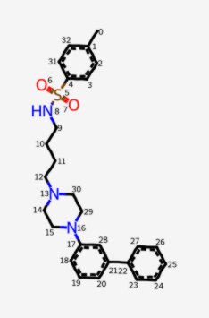 Cc1ccc(S(=O)(=O)NCCCCN2CCN(c3cccc(-c4ccccc4)c3)CC2)cc1